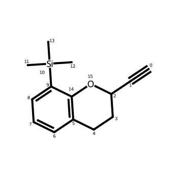 C#CC1CCc2cccc([Si](C)(C)C)c2O1